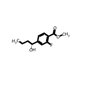 CCC[C@@H](O)c1ccc(C(=O)OC)c(F)c1